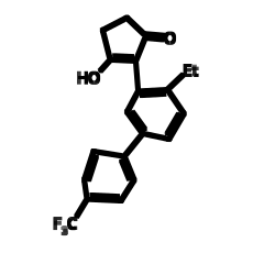 CCc1ccc(-c2ccc(C(F)(F)F)cc2)cc1C1=C(O)CCC1=O